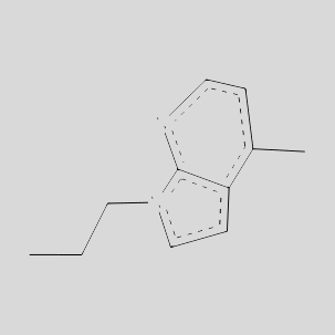 CCCn1ccc2c(C)ccnc21